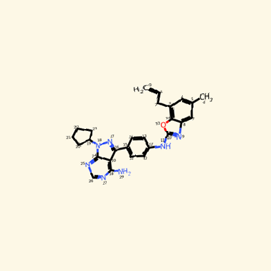 C=CCc1cc(C)cc2nc(Nc3ccc(-c4nn(C5CCCC5)c5ncnc(N)c45)cc3)oc12